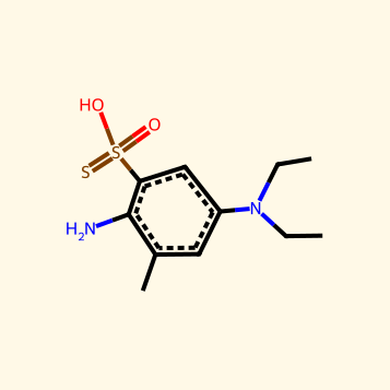 CCN(CC)c1cc(C)c(N)c(S(=O)(O)=S)c1